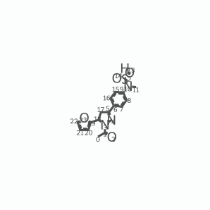 CC(=O)N1N=C(c2ccc(N(C)[SH](=O)=O)cc2)CC1c1ccco1